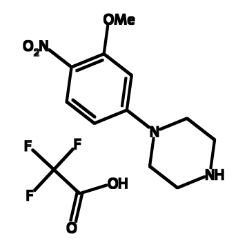 COc1cc(N2CCNCC2)ccc1[N+](=O)[O-].O=C(O)C(F)(F)F